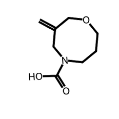 C=C1COCCCN(C(=O)O)C1